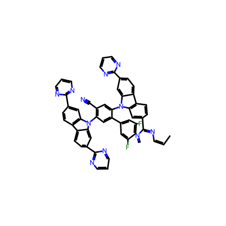 C=N/C(=N\C=C/C)c1ccc2c3ccc(-c4ncccn4)cc3n(-c3cc(C#N)c(-n4c5cc(-c6ncccn6)ccc5c5ccc(-c6ncccn6)cc54)cc3-c3cc(F)cc(F)c3)c2c1